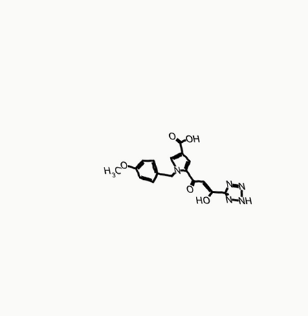 COc1ccc(Cn2cc(C(=O)O)cc2C(=O)C=C(O)c2nn[nH]n2)cc1